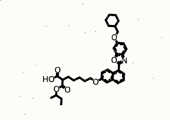 CCC(C)OC(=O)C(CCCCCOc1ccc2c(-c3nc4ccc(OCC5CCCCC5)cc4o3)cccc2c1)C(=O)O